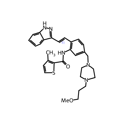 COCCCN1CCN(Cc2ccc(/C=C/c3n[nH]c4ccccc34)c(NC(=O)c3sccc3C)c2)CC1